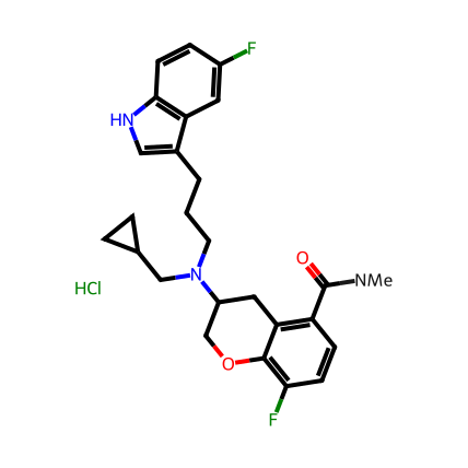 CNC(=O)c1ccc(F)c2c1CC(N(CCCc1c[nH]c3ccc(F)cc13)CC1CC1)CO2.Cl